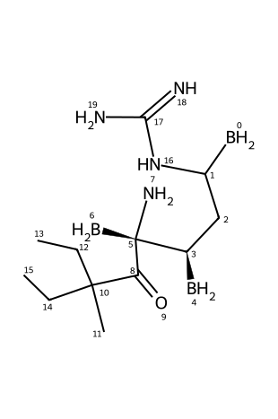 BC(C[C@@H](B)[C@@](B)(N)C(=O)C(C)(CC)CC)NC(=N)N